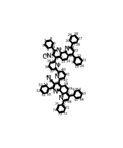 [C-]#[N+]c1c(-c2ccccc2)nc2c(ccc3c(-c4ccccc4)cc(-c4ccccc4)nc32)c1-c1cccc(-c2cccc(-c3c(C#N)c(-c4ccccc4)nc4c3ccc3c(-c5ccccc5)cc(-c5ccccc5)nc34)n2)n1